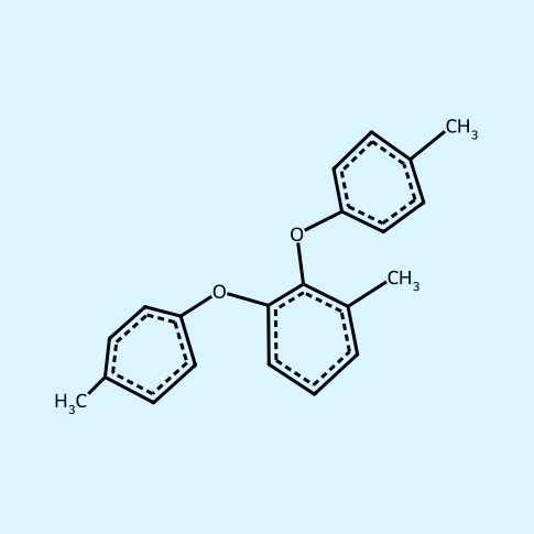 Cc1ccc(Oc2cccc(C)c2Oc2ccc(C)cc2)cc1